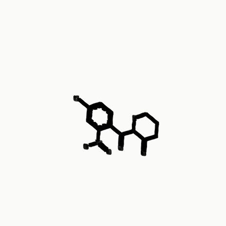 O=C1CCCSC1C(=O)c1ccc(Cl)cc1[N+](=O)[O-]